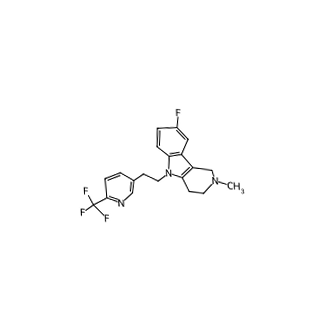 CN1CCc2c(c3cc(F)ccc3n2CCc2ccc(C(F)(F)F)nc2)C1